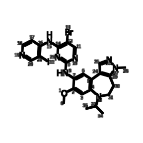 COc1cc2c(cc1Nc1ncc(Br)c(Nc3ccncc3I)n1)-c1cnn(C)c1CCN2C(C)C